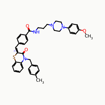 COc1ccc(N2CCN(CCCNC(=O)c3ccc(/C=C4/Sc5ccccc5N(Cc5ccc(C)cc5)C4=O)cc3)CC2)cc1